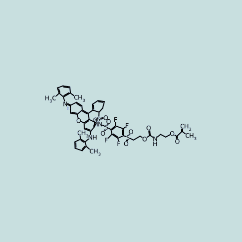 C=C(C)C(=O)OCCNC(=O)OCCS(=O)(=O)c1c(F)c(F)c(S(=O)(=O)NS(=O)(=O)C2CC=CC=C2c2c3cc/c(=N\c4c(C)cccc4C)cc-3oc3cc(Nc4c(C)cccc4C)ccc23)c(F)c1F